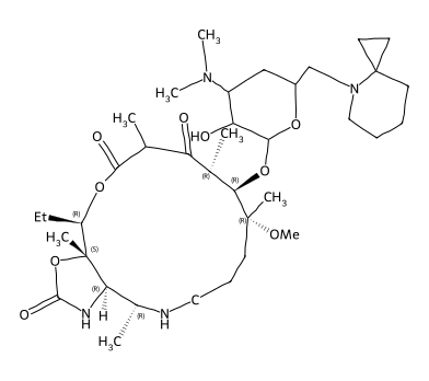 CC[C@H]1OC(=O)C(C)C(=O)[C@H](C)[C@@H](OC2OC(CN3CCCCC34CC4)CC(N(C)C)C2O)[C@](C)(OC)CCCN[C@H](C)[C@H]2NC(=O)O[C@@]21C